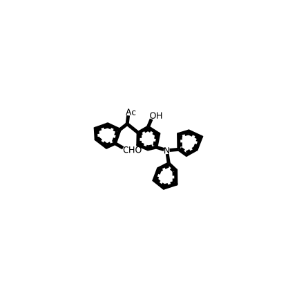 CC(=O)C(c1ccc(N(c2ccccc2)c2ccccc2)cc1O)c1ccccc1C=O